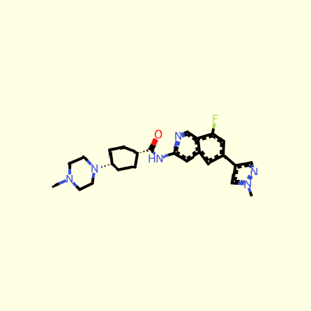 CN1CCN([C@H]2CC[C@@H](C(=O)Nc3cc4cc(-c5cnn(C)c5)cc(F)c4cn3)CC2)CC1